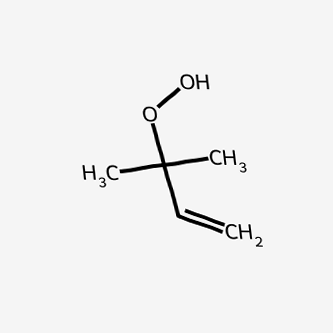 C=CC(C)(C)OO